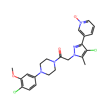 COc1cc(N2CCN(C(=O)Cn3nc(-c4ccc[n+]([O-])c4)c(Cl)c3C)CC2)ccc1Cl